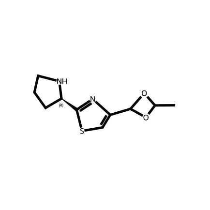 CC1OC(c2csc([C@H]3CCCN3)n2)O1